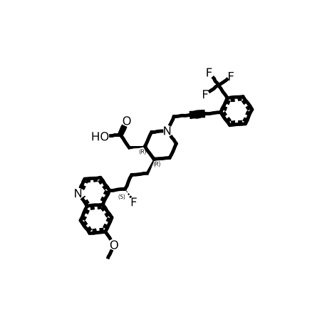 COc1ccc2nccc([C@@H](F)CC[C@@H]3CCN(CC#Cc4ccccc4C(F)(F)F)C[C@@H]3CC(=O)O)c2c1